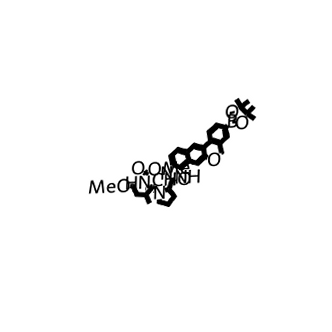 COCCC(C)[C@](C=O)(NC(=O)OC)N1CCCC1c1nc2ccc3cc4c(cc3c2[nH]1)OCc1cc(B2OC(C)(C)C(C)(C)O2)ccc1-4